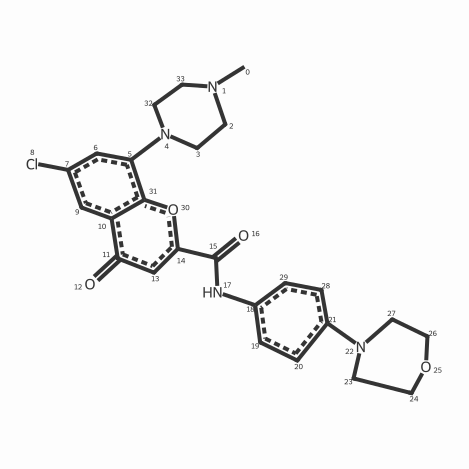 CN1CCN(c2cc(Cl)cc3c(=O)cc(C(=O)Nc4ccc(N5CCOCC5)cc4)oc23)CC1